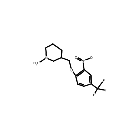 CN1CCCC(COc2ccc(C(F)(F)F)cc2[N+](=O)[O-])C1